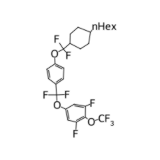 CCCCCCC1CCC(C(F)(F)Oc2ccc(C(F)(F)Oc3cc(F)c(OC(F)(F)F)c(F)c3)cc2)CC1